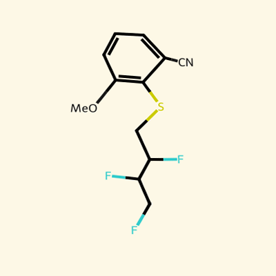 COc1cccc(C#N)c1SCC(F)C(F)CF